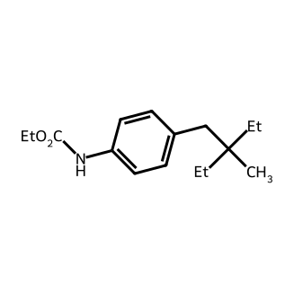 CCOC(=O)Nc1ccc(CC(C)(CC)CC)cc1